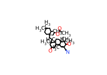 CC(=O)OCC[C@]1(CC[C@]2(C)CC(=O)C=C3[C@@]4(C)C=C(C#N)C(=O)C(C)(C)[C@@H]4CC[C@]32C)CCC(C)(C)CC1C